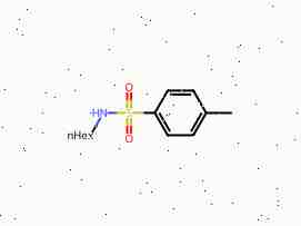 CCCCCCNS(=O)(=O)c1ccc(C)cc1